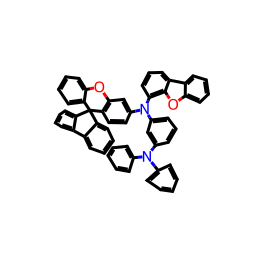 c1ccc(N(c2ccccc2)c2cccc(N(c3ccc4c(c3)Oc3ccccc3C43c4ccccc4-c4ccccc43)c3cccc4c3oc3ccccc34)c2)cc1